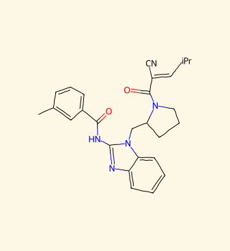 Cc1cccc(C(=O)Nc2nc3ccccc3n2CC2CCCN2C(=O)C(C#N)=CC(C)C)c1